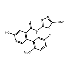 COc1nnc(NC(=O)c2cc(C#N)ncc2-c2cc(Cl)ncc2OC)s1